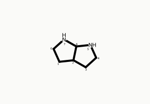 C1CC2CCNC2N1